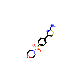 Nc1nc(-c2ccc(S(=O)(=O)N3CCOCC3)cc2)cs1